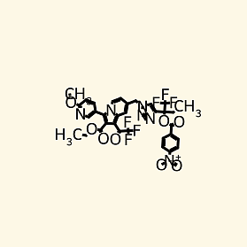 CCOC(=O)c1c(C(=O)C(F)(F)F)c2cc(Cn3cc(C(CC)(OC(=O)c4ccc([N+](=O)[O-])cc4)C(F)(F)F)nn3)ccn2c1-c1ccc(OC)nc1